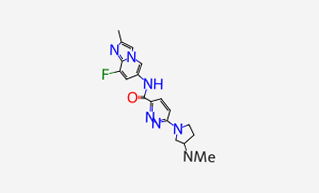 CNC1CCN(c2ccc(C(=O)Nc3cc(F)c4nc(C)cn4c3)nn2)C1